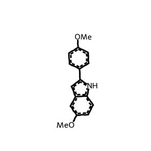 COc1ccc(-c2cc3cc(OC)ccc3[nH]2)cc1